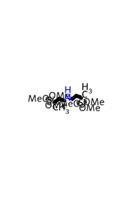 CO[Si](OC)(OC)C(C)CCNCCC(C)[Si](OC)(OC)OC